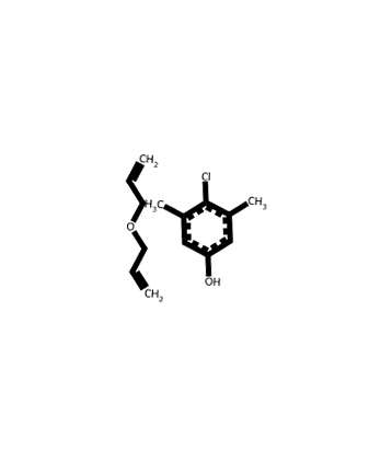 C=CCOCC=C.Cc1cc(O)cc(C)c1Cl